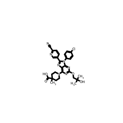 CC(C)(O)COc1nc(N2CCC(C)(C(=O)O)CC2)c2nc(-c3ccc(C#N)nc3)n(-c3ccc(Cl)cc3)c2n1